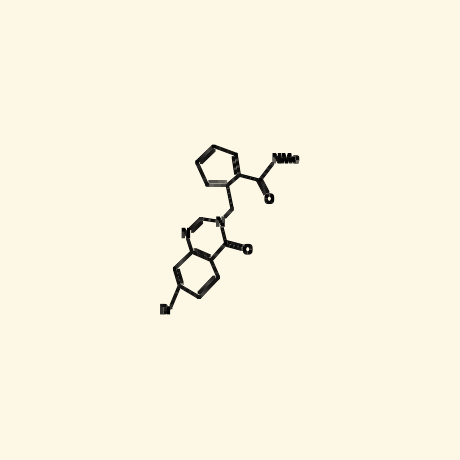 CNC(=O)c1ccccc1Cn1cnc2cc(Br)ccc2c1=O